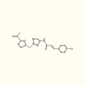 CC(=O)c1ccc(Cn2ncc(NC(=O)/C=C/c3ccc(Cl)cc3)n2)o1